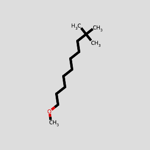 COCCCCCCCCC(C)(C)C